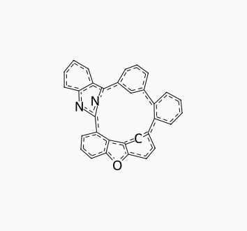 c1cc2cc(c1)c1nc(nc3ccccc31)c1cccc3oc4ccc(cc4c31)c1ccccc21